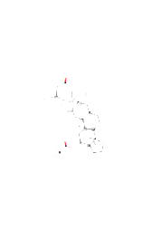 CCC(C)(C)C(=O)O[C@H]1C[C@H]2[C@@H](CC[C@@H]3C[C@@](O)([C@H]4C[C@@H](O)CC(=O)O4)[C@@H](C(C)C)C[C@@]32C)[C@@H]2CCC[C@@]12C